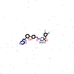 COC(=O)C1(Cc2ccc(F)c(F)c2)CCN(C(=O)Cc2ccc(-c3cccc(-c4cc5cnccc5[nH]4)c3O)cc2)CC1